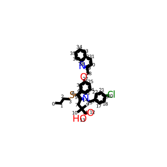 CCCCSc1c(CC(C)(C)C(=O)O)n(Cc2ccc(Cl)cc2)c2ccc(OCc3ccc4ccccc4n3)cc12